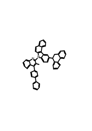 Cc1c(-n2c3ccc(C4Cc5ccccc5-c5ccccc54)cc3c3c4ccccc4ccc32)nc2ccccc2c1-c1ccc(-c2ccccc2)cc1